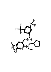 CCN(CC1CCCC1)c1nc2onc(C)c2cc1CNCc1cc(C(F)(F)F)cc(C(F)(F)F)c1